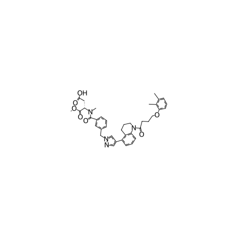 COC(=O)[C@H](CC(=O)O)N(C)C(=O)c1cccc(Cn2cc(-c3cccc4c3CCCN4C(=O)CCCOc3cccc(C)c3C)cn2)c1